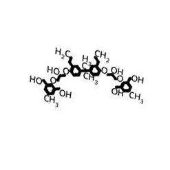 C=CCc1cc(C(C)(C)c2ccc(OCC(O)COc3c(CO)cc(C)cc3CO)c(CC=C)c2)ccc1OCC(O)COc1c(CO)cc(C)cc1CO